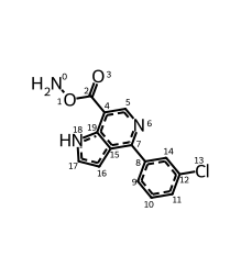 NOC(=O)c1cnc(-c2cccc(Cl)c2)c2cc[nH]c12